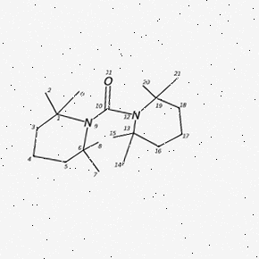 CC1(C)CCCC(C)(C)N1C(=O)N1C(C)(C)CCCC1(C)C